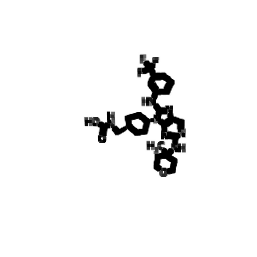 CC1(Nc2ncc3nc(Nc4cccc(C(F)(F)F)c4)n([C@H]4CC[C@H](CNC(=O)O)CC4)c3n2)CCOCC1